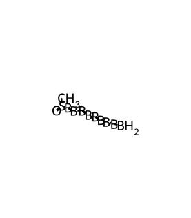 BB=BB=BB=BB=BS(C)=O